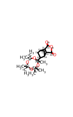 C[Si]1(C)O[Si](C)(C)O[Si](C)(C2CC3CC2C2C(=O)OC(=O)C32)O[Si](C)(C)O1